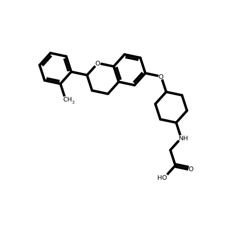 Cc1ccccc1C1CCc2cc(OC3CCC(NCC(=O)O)CC3)ccc2O1